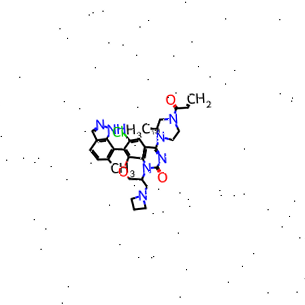 C=CC(=O)N1CCN(c2nc(=O)n3c4c(c(-c5c(C)ccc6cn[nH]c56)c(Cl)cc24)OCC3CN2CCC2)[C@@H](C)C1